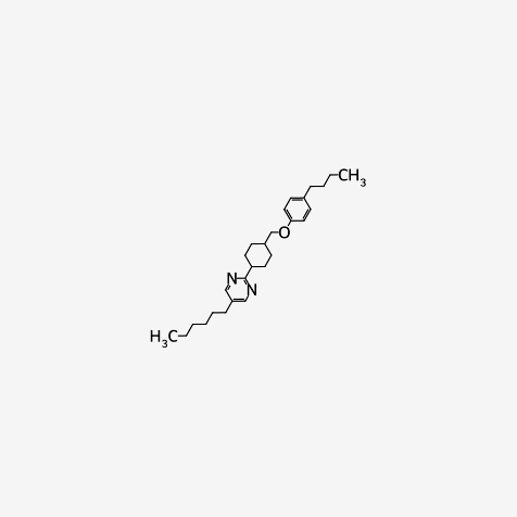 CCCCCCc1cnc(C2CCC(COc3ccc(CCCC)cc3)CC2)nc1